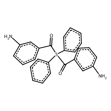 Nc1cccc(C(=O)S(C(=O)c2cccc(N)c2)(c2ccccc2)c2ccccc2)c1